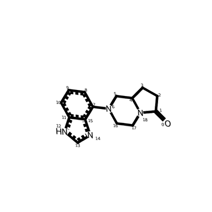 O=C1CCC2CN(c3cccc4[nH]cnc34)CCN12